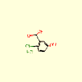 Cl.O=C(O)c1cc(O)ccc1Cl